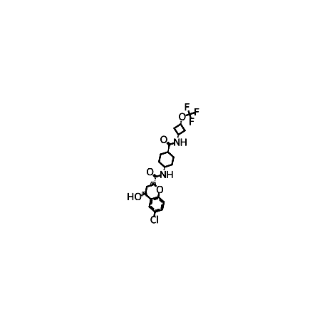 O=C(N[C@H]1CC[C@H](C(=O)N[C@H]2C[C@@H](OC(F)(F)F)C2)CC1)[C@H]1C[C@@H](O)c2cc(Cl)ccc2O1